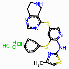 Cc1csc(Nc2ncc(Sc3ncnc4c3CNCC4)cc2Sc2ccccc2)n1.Cl.Cl.Cl